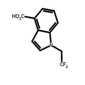 O=C(O)c1cccc2c1ccn2CC(F)(F)F